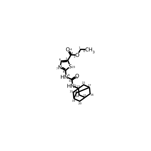 CCOC(=O)c1cnc(NC(=O)NC23CC4CC(CC(C4)C2)C3)s1